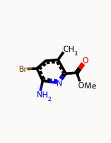 COC(=O)c1nc(N)c(Br)cc1C